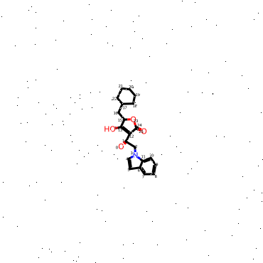 O=C(Cn1ccc2ccccc21)C1=C(O)C(CC2CCCCC2)OC1=O